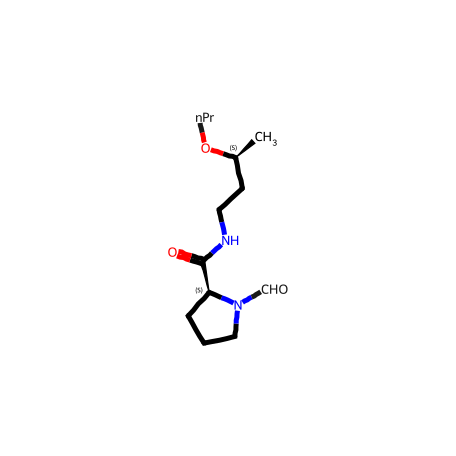 CCCO[C@@H](C)CCNC(=O)[C@@H]1CCCN1C=O